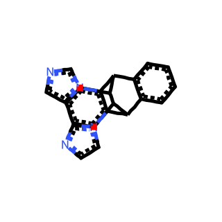 c1ccc2c(c1)C1c3ccccc3C2C(n2ccnc2)C1n1ccnc1